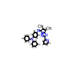 [C-]#[N+]C1=C(C#N)c2nc(-c3ccccn3)nn2/C1=N\c1ccc(N(c2ccccc2)c2ccccc2)cc1